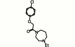 CCN1CCCN(C(=O)COc2ccc(Cl)cc2)CC1